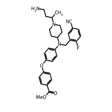 COC(=O)c1ccc(Oc2ccc(N(Cc3cc(C#N)ccc3F)C3CCN(C(C)CCN)CC3)cc2)cc1